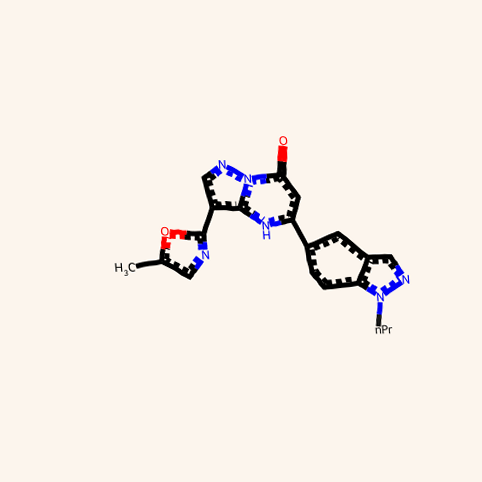 CCCn1ncc2cc(-c3cc(=O)n4ncc(-c5ncc(C)o5)c4[nH]3)ccc21